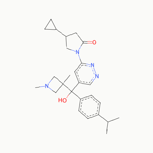 CC(C)c1ccc(C(O)(c2cnnc(N3CC(C4CC4)CC3=O)c2)C2(C)CN(C)C2)cc1